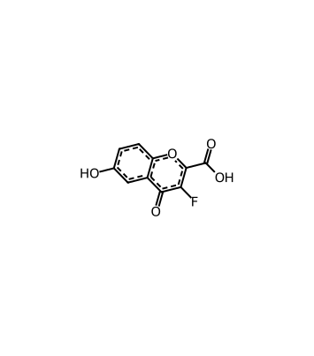 O=C(O)c1oc2ccc(O)cc2c(=O)c1F